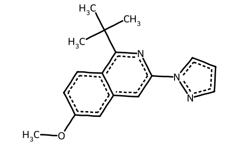 COc1ccc2c(C(C)(C)C)nc(-n3cccn3)cc2c1